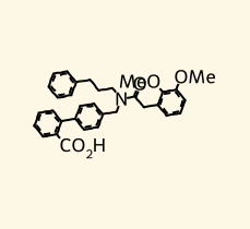 COc1cccc(CC(=O)N(CCCc2ccccc2)Cc2ccc(-c3ccccc3C(=O)O)cc2)c1OC